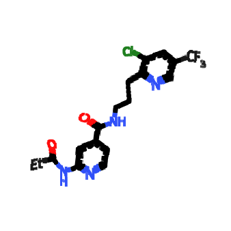 CCC(=O)Nc1cc(C(=O)NCCCc2ncc(C(F)(F)F)cc2Cl)ccn1